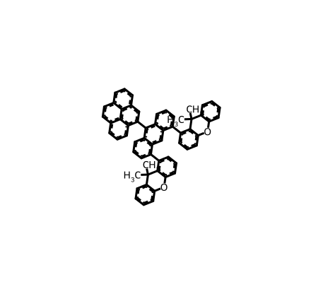 CC1(C)c2ccccc2Oc2cccc(-c3cccc4c(-c5cc6cccc7ccc8cccc5c8c76)c5cccc(-c6cccc7c6C(C)(C)c6ccccc6O7)c5cc34)c21